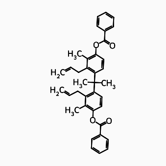 C=CCc1c(C(C)(C)c2ccc(OC(=O)c3ccccc3)c(C)c2CC=C)ccc(OC(=O)c2ccccc2)c1C